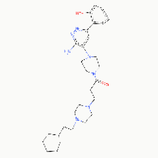 Nc1nnc(-c2ccccc2O)cc1N1CCN(C(=O)CCN2CCN(CCC3CCCCC3)CC2)CC1